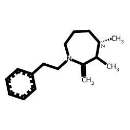 C=C1C(C)[C@@H](C)CCCN1CCc1ccccc1